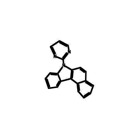 c1cnc(-n2c3ccccc3c3c4ccccc4ccc32)nc1